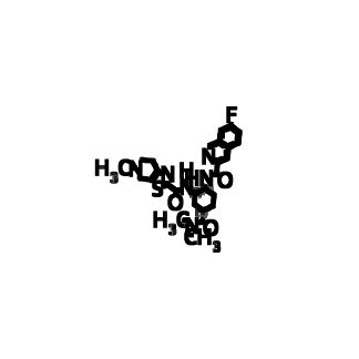 CN1CCc2nc(C(=O)N[C@@H]3C[C@@H](C(=O)N(C)C)CC[C@@H]3NC(=O)c3cc4ccc(F)cc4cn3)sc2C1